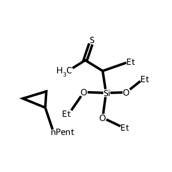 CCCCCC1CC1.CCO[Si](OCC)(OCC)C(CC)C(C)=S